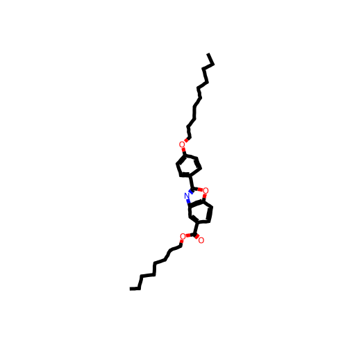 CCCCCCCCCCOc1ccc(-c2nc3cc(C(=O)OCCCCCCCC)ccc3o2)cc1